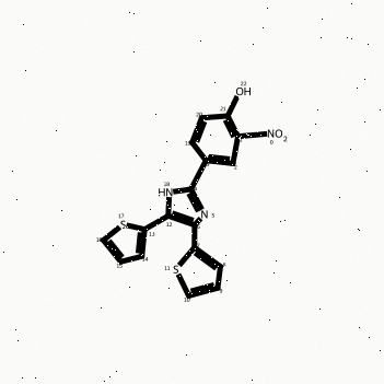 O=[N+]([O-])c1cc(-c2nc(-c3cccs3)c(-c3cccs3)[nH]2)ccc1O